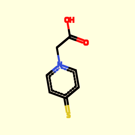 O=C(O)Cn1ccc(=S)cc1